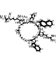 CC(=O)N[C@@H](CCCNC(=N)N)C(=O)N[C@H]1CCC(=O)NCCCCNC(=O)[C@H](Cc2c[nH]c3ccccc23)NC(=O)[C@H](CCCNC(=N)N)NC(=O)[C@@H](Cc2ccc3ccccc3c2)NC(=O)C(Cc2c[nH]cn2)NC1=O